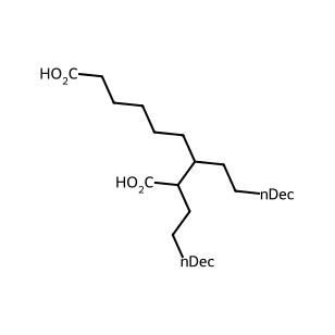 CCCCCCCCCCCCC(CCCCCC(=O)O)C(CCCCCCCCCCCC)C(=O)O